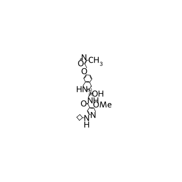 COc1cnc(NC2CCC2)cc1C(=O)NC[C@@H](O)[C@@H]1Cc2ccc(OCc3ocnc3C)cc2CN1